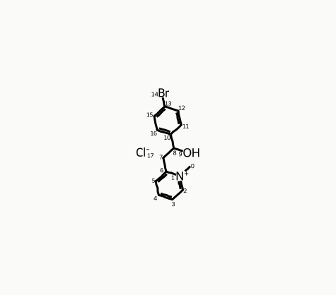 C[n+]1ccccc1CC(O)c1ccc(Br)cc1.[Cl-]